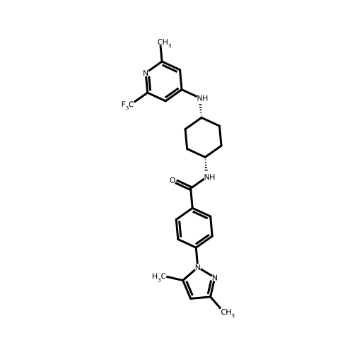 Cc1cc(N[C@H]2CC[C@@H](NC(=O)c3ccc(-n4nc(C)cc4C)cc3)CC2)cc(C(F)(F)F)n1